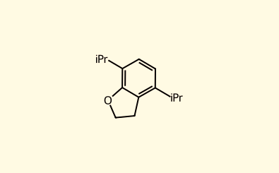 CC(C)c1ccc(C(C)C)c2c1CCO2